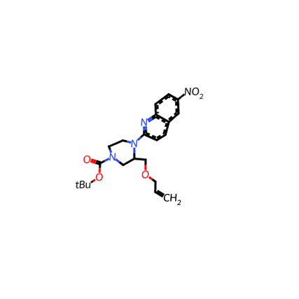 C=CCOCC1CN(C(=O)OC(C)(C)C)CCN1c1ccc2cc([N+](=O)[O-])ccc2n1